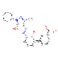 Cc1nn(C2CCCCC2)c(O)c1N=Nc1cccc(-c2cccc(C(=O)O)c2)c1O